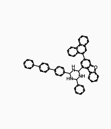 c1ccc(-c2ccc(-c3ccc(C4NC(c5ccccc5)NC(c5cc(-c6cc7ccccc7c7ccccc67)cc6oc7ccccc7c56)N4)cc3)cc2)cc1